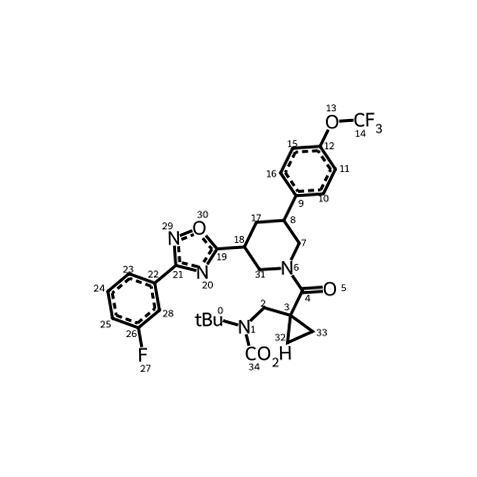 CC(C)(C)N(CC1(C(=O)N2CC(c3ccc(OC(F)(F)F)cc3)CC(c3nc(-c4cccc(F)c4)no3)C2)CC1)C(=O)O